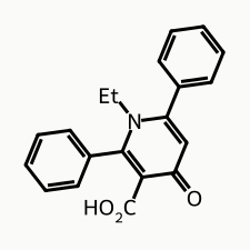 CCn1c(-c2ccccc2)cc(=O)c(C(=O)O)c1-c1ccccc1